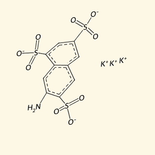 Nc1cc2c(S(=O)(=O)[O-])cc(S(=O)(=O)[O-])cc2cc1S(=O)(=O)[O-].[K+].[K+].[K+]